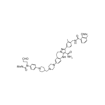 CNC(=O)N(CCC=O)c1ccc(N2CCC(CN3CCN(c4ccc5c(c4)CCn4nc(-c6ccc(CNC(=O)c7cccc(C)c7OC)c(C)c6)c(C(N)=O)c4N5)CC3)CC2)cc1